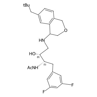 CC(=O)N[C@@H](Cc1cc(F)cc(F)c1)[C@H](O)CNC1COCc2ccc(CC(C)(C)C)cc21